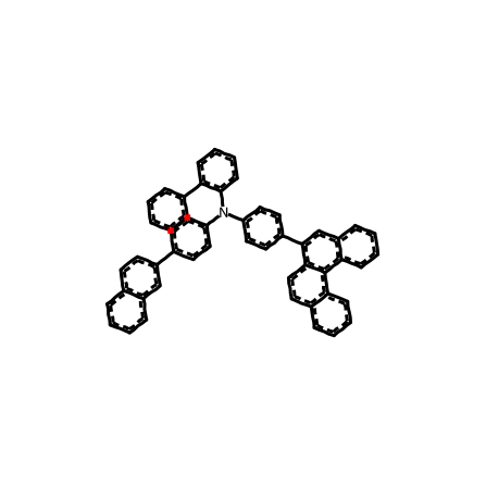 c1ccc(-c2ccccc2N(c2ccc(-c3ccc4ccccc4c3)cc2)c2ccc(-c3cc4ccccc4c4c3ccc3ccccc34)cc2)cc1